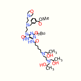 CCCCOc1nc(NC(=O)CCCCCN(CCCN(CC(C)O)CC(C)O)CC(C)O)c2[nH]c(=O)n(CCCN(CCCN3CCOCC3)Cc3cccc(C(=O)OC)c3)c2n1